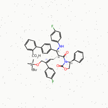 CC(C)(C)[Si](C)(C)OC/C(=C/C[C@@H](C(=O)N1C(=O)OC[C@@H]1c1ccccc1)[C@H](Nc1ccc(F)cc1)c1ccc(-c2ccccc2C(=O)O)cc1)c1ccc(F)cc1